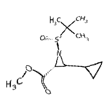 COC(=O)[C@H]1C(C2CC2)N1[S@+]([O-])C(C)(C)C